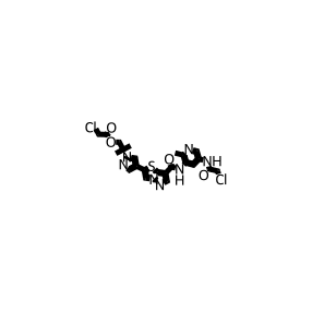 Cc1ncc(NC(=O)CCl)cc1NC(=O)c1cnn2cc(-c3cnn(C(C)(C)COC(=O)CCl)c3)sc12